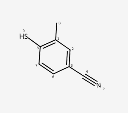 Cc1cc(C#N)ccc1S